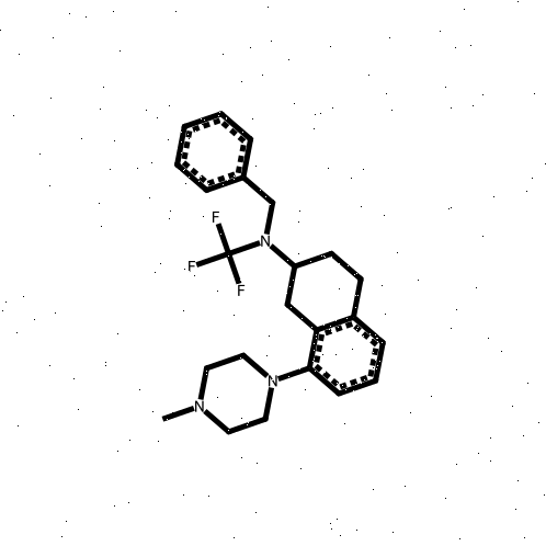 CN1CCN(c2cccc3c2CC(N(Cc2ccccc2)C(F)(F)F)CC3)CC1